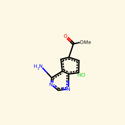 COC(=O)c1ccc2ncnc(N)c2c1.Cl